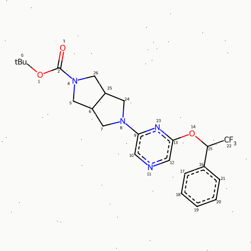 CC(C)(C)OC(=O)N1CC2CN(c3cncc(OC(c4ccccc4)C(F)(F)F)n3)CC2C1